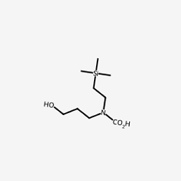 C[Si](C)(C)CCN(CCCO)C(=O)O